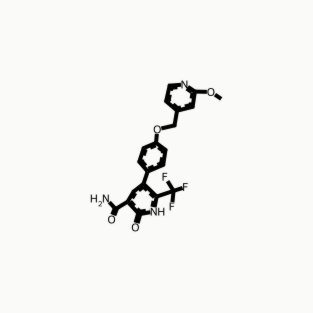 COc1cc(COc2ccc(-c3cc(C(N)=O)c(=O)[nH]c3C(F)(F)F)cc2)ccn1